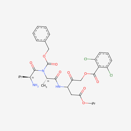 CC(C)OC(=O)CC(NC(=O)[C@H](C)N(C(=O)OCc1ccccc1)C(=O)[C@@H](N)C(C)C)C(=O)COC(=O)c1c(Cl)cccc1Cl